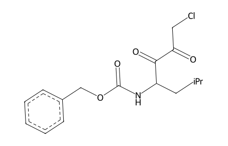 CC(C)CC(NC(=O)OCc1ccccc1)C(=O)C(=O)CCl